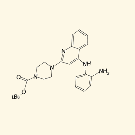 CC(C)(C)OC(=O)N1CCN(c2cc(Nc3ccccc3N)c3ccccc3n2)CC1